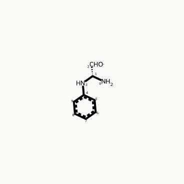 N[C@@H]([C]=O)Nc1ccccc1